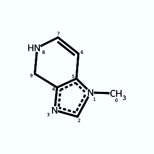 Cn1cnc2c1C=CNC2